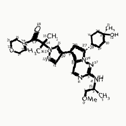 COC[C@H](C)Nc1ncc2c(-c3cnn(C(C)(C)C(=O)N4CCOCC4)c3)cc([C@H]3CC[C@](C)(O)CC3)n2n1